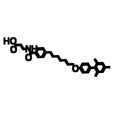 Cc1cc(C)c(-c2ccc(OCCCCCCCc3ccc(C(=O)NCCC(=O)O)cc3)cc2)c(C)c1